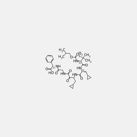 CC(C)COC(=O)N[C@H](C(=O)N[C@@H](CC1CC1)C(=O)NC(CC1CC1)C(=O)C(=O)NCC(=O)N[C@H](C(=O)O)c1ccccc1)C(C)(C)C